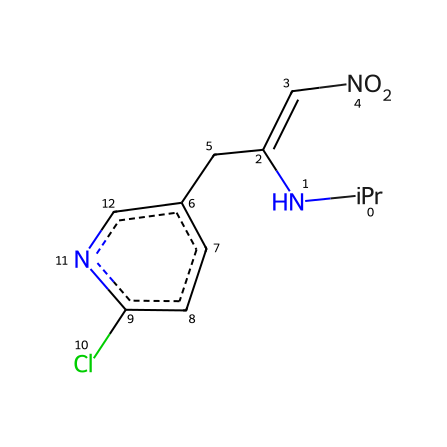 CC(C)NC(=C[N+](=O)[O-])Cc1ccc(Cl)nc1